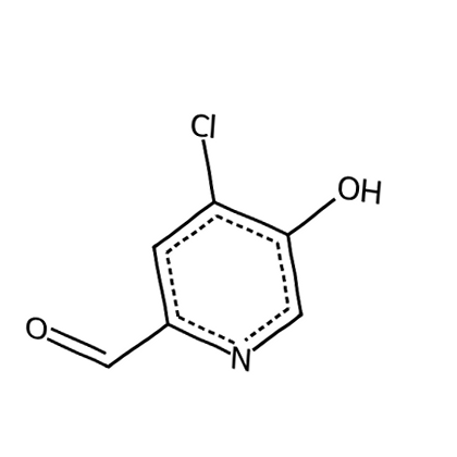 O=Cc1cc(Cl)c(O)cn1